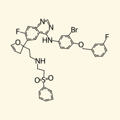 O=S(=O)(CCNCCC1(c2cc3c(Nc4ccc(OCc5cccc(F)c5)c(Br)c4)ncnc3cc2F)CC=CO1)c1ccccc1